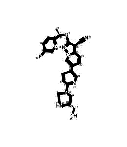 C[C@@H](Oc1nn2cc(-c3ccc(N4CCN[C@@H](CO)C4)nc3)ccc2c1C#N)c1ccc(F)cn1